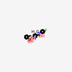 CN(c1ccc(F)cc1)C(O)c1ccc(SCc2ccccc2B(O)O)nc1